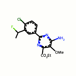 CCOC(=O)c1nc(-c2ccc(Cl)c(C(C)F)c2)nc(N)c1OC